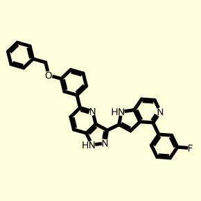 Fc1cccc(-c2nccc3[nH]c(-c4n[nH]c5ccc(-c6cccc(OCc7ccccc7)c6)nc45)cc23)c1